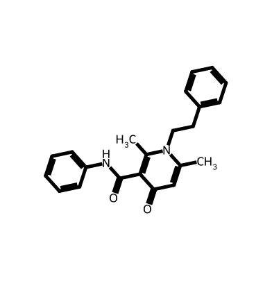 Cc1cc(=O)c(C(=O)Nc2ccccc2)c(C)n1CCc1ccccc1